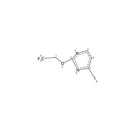 FC(F)(F)COc1nccc(I)n1